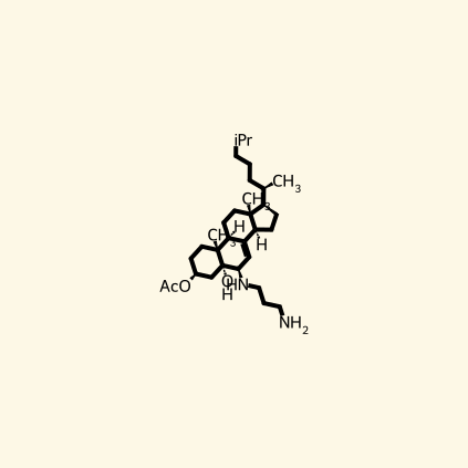 CC(=O)O[C@H]1CC[C@]2(C)[C@H]3CC[C@]4(C)[C@@H]([C@H](C)CCCC(C)C)CC[C@H]4C3=C[C@@H](NCCCN)[C@@]2(O)C1